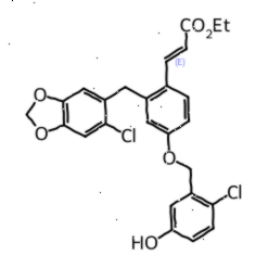 CCOC(=O)/C=C/c1ccc(OCc2cc(O)ccc2Cl)cc1Cc1cc2c(cc1Cl)OCO2